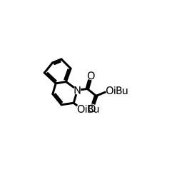 CC(C)COC(=O)C(=O)N1c2ccccc2C=CC1OCC(C)C